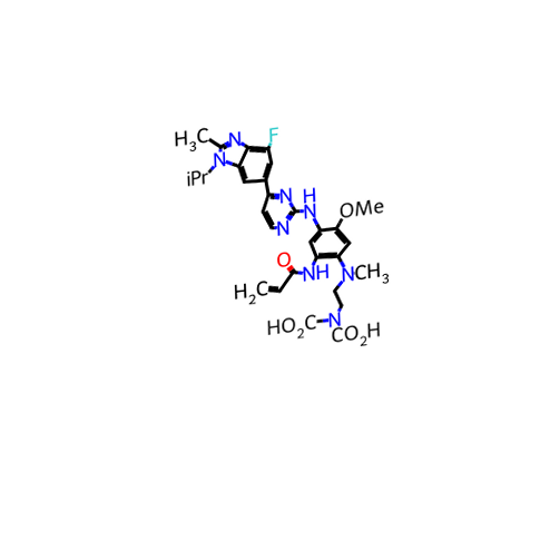 C=CC(=O)Nc1cc(Nc2nccc(-c3cc(F)c4nc(C)n(C(C)C)c4c3)n2)c(OC)cc1N(C)CCN(C(=O)O)C(=O)O